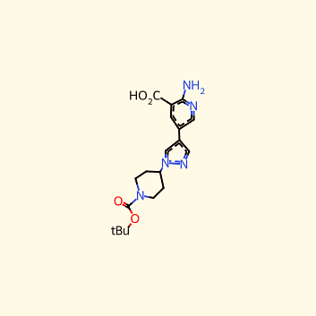 CC(C)(C)OC(=O)N1CCC(n2cc(-c3cnc(N)c(C(=O)O)c3)cn2)CC1